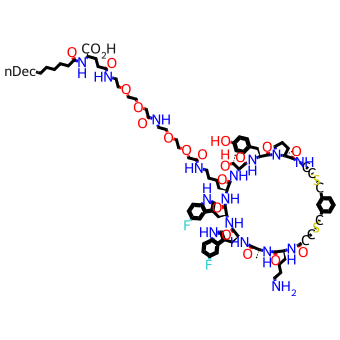 CCCCCCCCCCCCCCCC(=O)N[C@@H](CCC(=O)NCCOCCOCC(=O)NCCOCCOCC(=O)NCCCC[C@@H]1NC(=O)[C@H](Cc2c[nH]c3ccc(F)cc23)NC(=O)[C@H](Cc2c[nH]c3ccc(F)cc23)NC(=O)[C@@H](C)NC(=O)[C@H](CCCCN)NC(=O)CCSCc2cccc(c2)CSCCNC(=O)[C@]2(C)CCCN2C(=O)[C@H](Cc2ccc(O)cc2)NC(=O)C([C@@H](C)O)NC1=O)C(=O)O